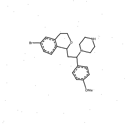 COc1ccc(C(CC2OCCc3cc(Br)ccc32)N2CCNCC2)cc1